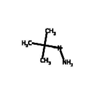 CC(C)(C)[N]N